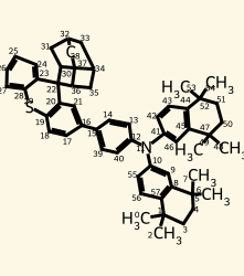 CC1(C)CCC(C)(C)c2cc(N(c3ccc(-c4ccc5c(c4)C4(c6ccccc6S5)C5CC6CC7CC4C75C6)cc3)c3ccc4c(c3)C(C)(C)CCC4(C)C)ccc21